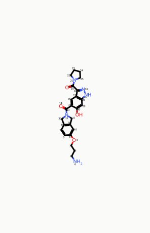 NCCCOc1ccc2c(c1)CN(C(=O)c1cc3c(C(=O)N4CCCC4)n[nH]c3cc1O)C2